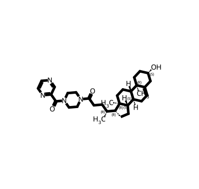 C[C@H](CCC(=O)N1CCN(C(=O)c2cnccn2)CC1)[C@H]1CC[C@H]2[C@@H]3CC=C4C[C@@H](O)CC[C@]4(C)[C@H]3CC[C@]12C